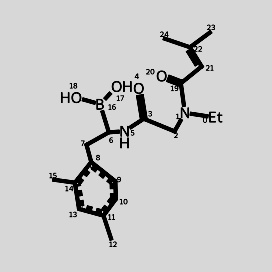 CCN(CC(=O)NC(Cc1ccc(C)cc1C)B(O)O)C(=O)C=C(C)C